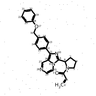 C=CC(=O)N1CCCC1c1nc(-c2ccc(COc3ccccc3)cc2)c2cnccn12